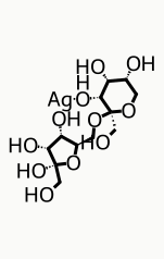 OC[C@@]1(OC[C@H]2O[C@@](O)(CO)[C@H](O)[C@@H]2O)OC[C@@H](O)[C@@H](O)[C@H]1O.[Ag]